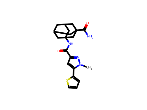 Cn1nc(C(=O)NC23CC4CC(C2)CC(C(N)=O)(C4)C3)cc1-c1cccs1